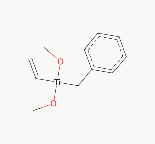 C=[CH][Ti]([CH2]c1ccccc1)([O]C)[O]C